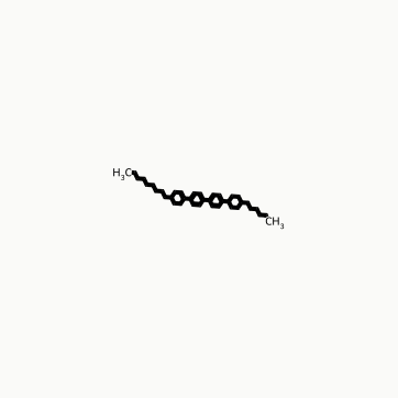 CCCCCCCCCC1CC=C(c2ccc(-c3ccc(C4CCC(CCCCCC)CC4)cc3)cc2)CC1